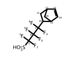 O=S(=O)(O)C(F)(F)C(F)(F)C(F)(F)C1CC2C=CC1C2